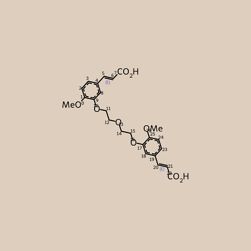 COc1ccc(/C=C/C(=O)O)cc1OCCOCCOc1cc(/C=C/C(=O)O)ccc1OC